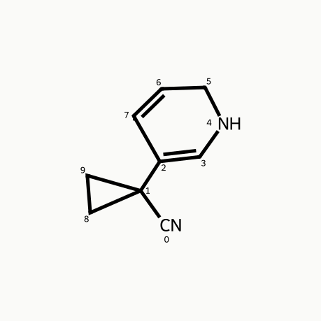 N#CC1(C2=CNCC=[C]2)CC1